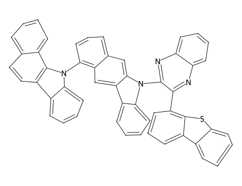 c1cc(-n2c3ccccc3c3ccc4ccccc4c32)c2cc3c4ccccc4n(-c4nc5ccccc5nc4-c4cccc5c4sc4ccccc45)c3cc2c1